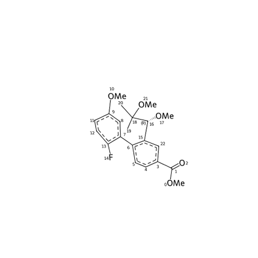 COC(=O)c1ccc(-c2cc(OC)ccc2F)c([C@@H](OC)C(C)(C)OC)c1